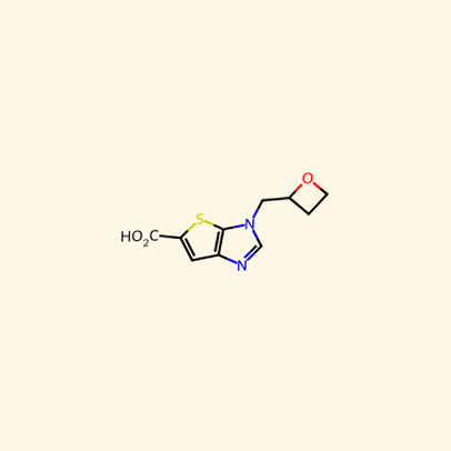 O=C(O)c1cc2ncn(CC3CCO3)c2s1